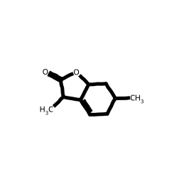 CC1CC=C2C(C1)OC(=O)C2C